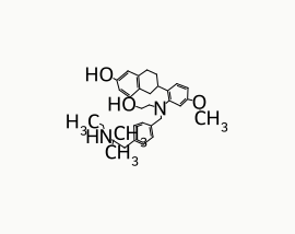 CCNC(C)(C)Cc1ccc(CN(CCO)c2cc(OC)ccc2C2CCc3cc(O)ccc3C2)cc1